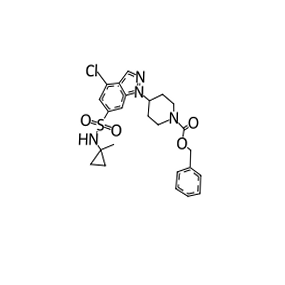 CC1(NS(=O)(=O)c2cc(Cl)c3cnn(C4CCN(C(=O)OCc5ccccc5)CC4)c3c2)CC1